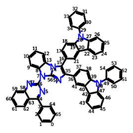 c1ccc(-c2nc(-n3c4ccccc4n4c(-c5ccc6c(c5)c5ccccc5n6-c5ccccc5)c(-c5ccc6c(c5)c5ccccc5n6-c5ccccc5)nc34)nc3ccccc23)cc1